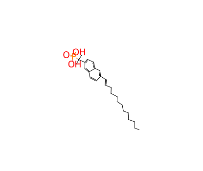 CCCCCCCCCCC/C=C/c1ccc2cc(C(C)(C)P(=O)(O)O)ccc2c1